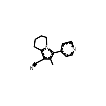 Cc1c(C#N)c2n(c1-c1ccncc1)CCCC2